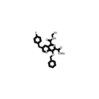 COC(=O)c1nc(C(=O)NCC(C)=O)c2cc(Cc3ccc(F)cc3)cnc2c1OCc1ccccc1